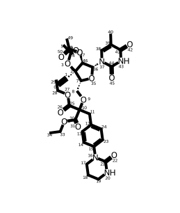 C#C[C@@]1(OC(C)=O)[C@@H](COC(Cc2ccc(N3CCCNC3=O)cc2)(C(=O)OCC)C(=O)OCC)O[C@@H](n2cc(C)c(=O)[nH]c2=O)[C@@H]1OC(C)=O